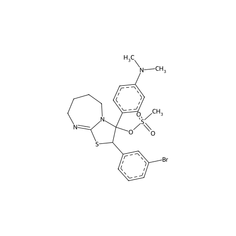 CN(C)c1ccc(C2(OS(C)(=O)=O)C(c3cccc(Br)c3)SC3=NCCCCN32)cc1